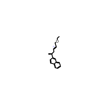 C=C(C/C=C/COCC)c1ccc2ccccc2c1